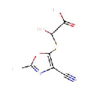 Cc1nc(C#N)c(SC(O)C(=O)O)o1